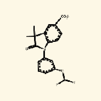 CC1(C)C(=O)N(c2cccc(OC(F)F)c2)c2ccc(C(=O)O)cc21